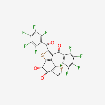 O=C1C(=O)c2sc(C(=O)c3c(F)c(F)c(F)c(F)c3F)c(C(=O)c3c(F)c(F)c(F)c(F)c3F)c2-c2sccc21